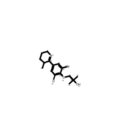 CC1CCCN=C1c1cc(Cl)c(OCC(C)(C)O)c(Br)c1